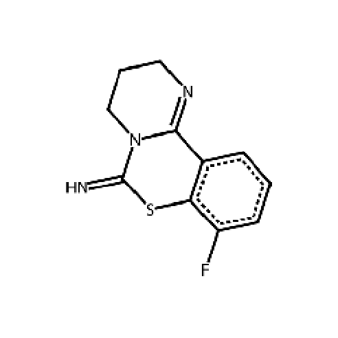 N=C1Sc2c(F)cccc2C2=NCCCN12